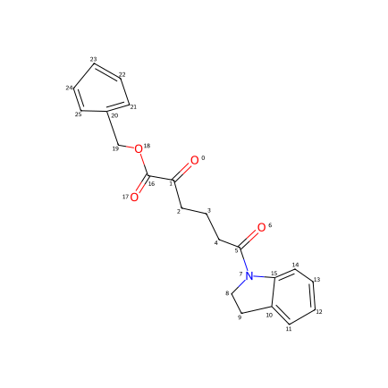 O=C(CCCC(=O)N1CCc2ccccc21)C(=O)OCc1ccccc1